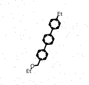 CCOCc1ccc(-c2ccc(-c3ccc(CC)cc3)cc2)cc1